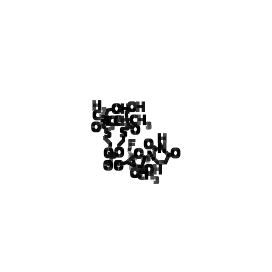 CC(C)(CO)C(=O)SCCOP(=O)(OCCSC(=O)C(C)(C)CO)OC1[C@]2(O)[C@@](C)(O)[C@H](n3ccc(=O)[nH]c3=O)O[C@]12CF